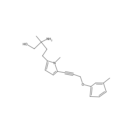 Cc1cccc(OCC#Cc2ccc(CCC(C)(N)CO)n2C)c1